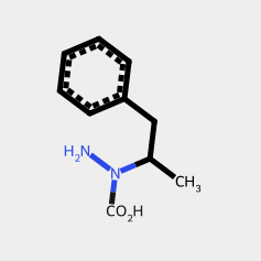 CC(Cc1ccccc1)N(N)C(=O)O